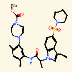 Cc1cc(C)c(N2CCN(C(=O)OC(C)(C)C)CC2)cc1NC(=O)C(C)n1cc(C)c2cc(S(=O)(=O)N3CCCCC3)ccc21